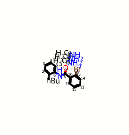 CCCCc1ccccc1NC(=O)c1ccccc1Br.CN.CN.CN